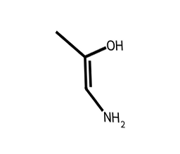 CC(O)=CN